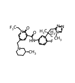 C[C@H]1CCCN(Cc2cc(C(=O)Nc3ccc(F)c(C(C)(C)Cc4nncn4C)c3)c(=O)n(CC(F)(F)F)c2)C1